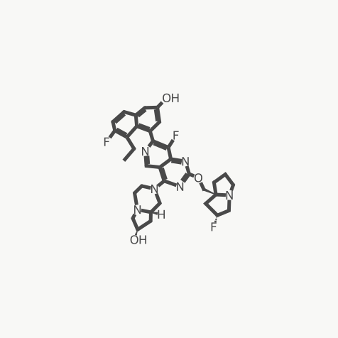 CCc1c(F)ccc2cc(O)cc(-c3ncc4c(N5CCN6C[C@@H](O)C[C@H]6C5)nc(OC[C@@]56CCCN5C[C@H](F)C6)nc4c3F)c12